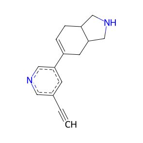 C#Cc1cncc(C2=CCC3CNCC3C2)c1